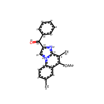 CCc1ccc2c(c1)c(OC)c(CC)c1nc(C(=O)c3ccccc3)cn12